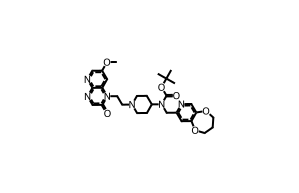 COc1cnc2ncc(=O)n(CCN3CCC(N(Cc4cc5c(cn4)OCCCO5)C(=O)OC(C)(C)C)CC3)c2c1